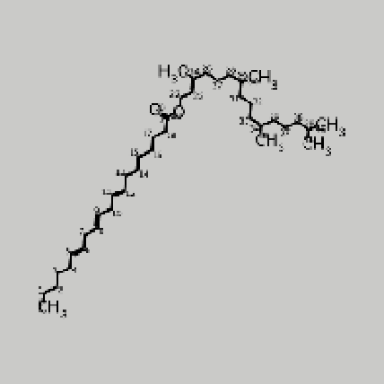 CCCCC/C=C/C/C=C/C/C=C/C/C=C/CCCC(=O)OC/C=C(\C)CCCC(C)CCCC(C)CCCC(C)C